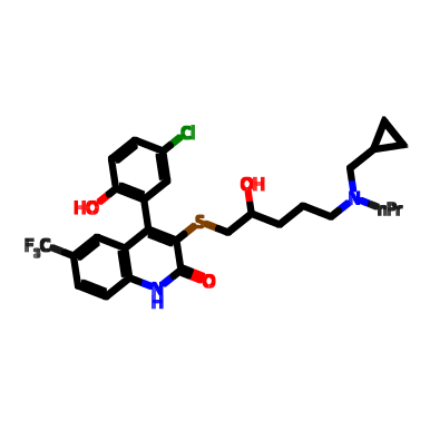 CCCN(CCCC(O)CSc1c(-c2cc(Cl)ccc2O)c2cc(C(F)(F)F)ccc2[nH]c1=O)CC1CC1